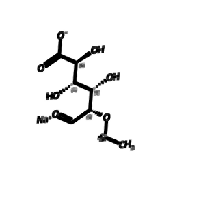 C[Si]O[C@H](C=O)[C@@H](O)[C@H](O)[C@H](O)C(=O)[O-].[Na+]